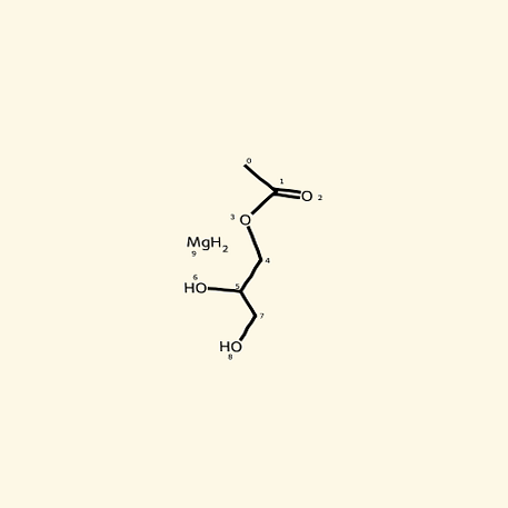 CC(=O)OCC(O)CO.[MgH2]